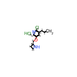 C=CCc1cc(OC[C@@H]2CCN2)cnc1Cl.Cl